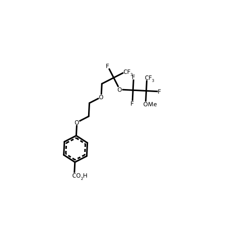 COC(F)(C(F)(F)F)C(F)(F)OC(F)(COCCOc1ccc(C(=O)O)cc1)C(F)(F)F